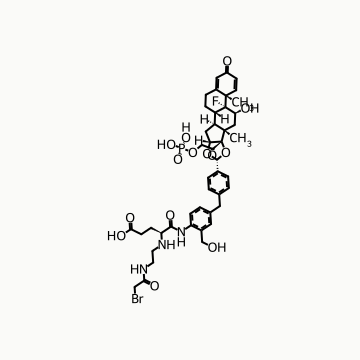 C[C@]12C=CC(=O)C=C1CC[C@H]1[C@@H]3C[C@H]4O[C@@H](c5ccc(Cc6ccc(NC(=O)[C@H](CCC(=O)O)NCCNC(=O)CBr)c(CO)c6)cc5)O[C@@]4(C(=O)COP(=O)(O)O)[C@@]3(C)C[C@H](O)[C@@]12F